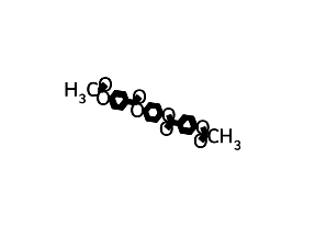 CC(=O)Oc1ccc(C(=O)OC2CCC(OC(=O)c3ccc(OC(C)=O)cc3)CC2)cc1